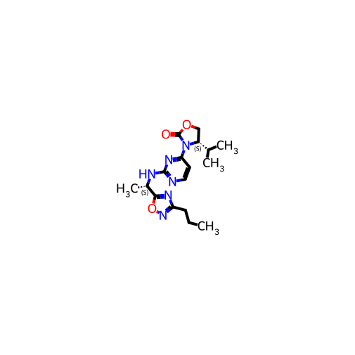 CCCc1noc([C@H](C)Nc2nccc(N3C(=O)OC[C@@H]3C(C)C)n2)n1